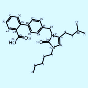 CCCCCn1cc(CCC(C)C)n(Cc2ccc(-c3ccccc3C(=O)O)cc2)c1=O